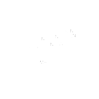 C=C/C=C(\OC)c1ccc(C)c(-c2cnc(NC(=O)c3snnc3C)cn2)c1